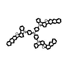 c1ccc2cc3cc4c(cc3cc2c1)oc1c4ccc2c1c1ccccc1n2-c1ccc(N(c2ccc(-n3c4ccccc4c4c5oc6cc7cc8ccccc8cc7cc6c5ccc43)cc2)c2ccc(-n3c4ccccc4c4c5oc6ccc7cc8ccccc8cc7c6c5ccc43)cc2)cc1